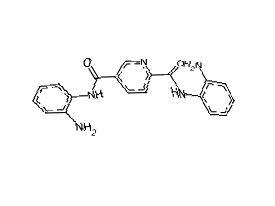 Nc1ccccc1NC(=O)c1ccc(C(=O)Nc2ccccc2N)nc1